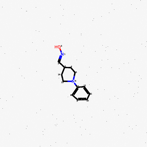 ON=CC1CCN(c2ccccc2)CC1